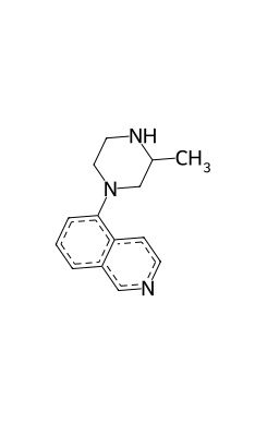 CC1CN(c2cccc3cnccc23)CCN1